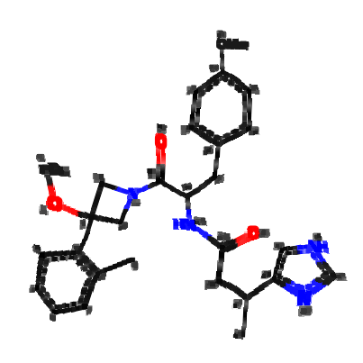 CCCCOC1(c2ccccc2C)CN(C(=O)C(Cc2ccc(OC)cc2)NC(=O)CC(C)c2c[nH]cn2)C1